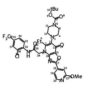 CCc1c(N2CCN(C(=O)OC(C)(C)C)CC2)c(=O)c2oc(-c3ccnc(OC)c3)nc2n1CC(=O)Nc1ccc(C(F)(F)F)cc1Cl